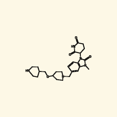 Cn1c(=O)n(C2CCC(=O)NC2=O)c2ccc(CN3CCC(OCC4CCNCC4)CC3)cc21